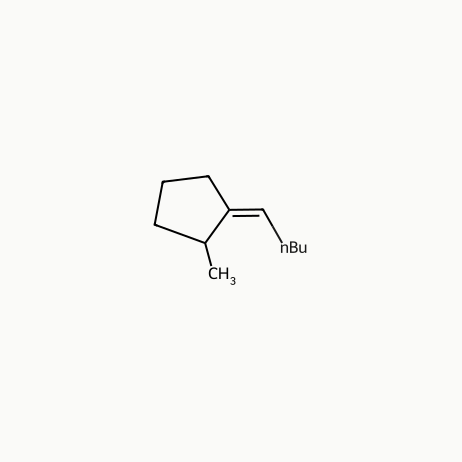 CCCCC=C1CCCC1C